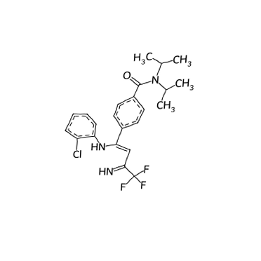 CC(C)N(C(=O)c1ccc(/C(=C/C(=N)C(F)(F)F)Nc2ccccc2Cl)cc1)C(C)C